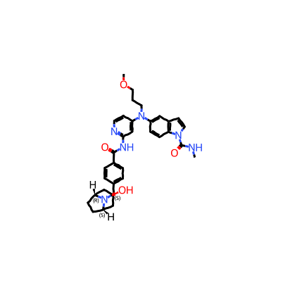 CNC(=O)n1ccc2cc(N(CCCOC)c3ccnc(NC(=O)c4ccc(CN5[C@@H]6CC[C@H]5C[C@H](O)C6)cc4)c3)ccc21